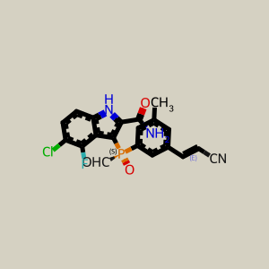 Cc1cc(/C=C/C#N)cc([P@@](=O)(C=O)c2c(C(N)=O)[nH]c3ccc(Cl)c(F)c23)c1